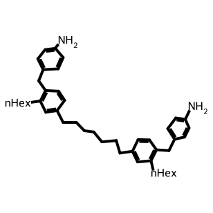 CCCCCCc1cc(CCCCCCCc2ccc(Cc3ccc(N)cc3)c(CCCCCC)c2)ccc1Cc1ccc(N)cc1